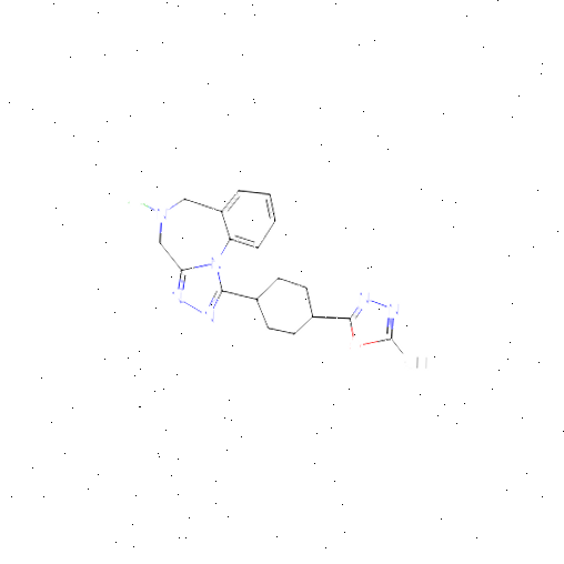 Cc1nnc(C2CCC(c3nnc4n3-c3ccccc3CN(Cl)C4)CC2)o1